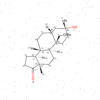 CCC[C@@]1(O)CC[C@@]2(COC)[C@H](CC[C@@H]3[C@@H]2CC[C@]2(C)C(=O)CC[C@@H]32)C1